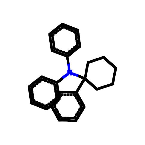 c1ccc(N(c2ccccc2)C2(c3ccccc3)CCCCC2)cc1